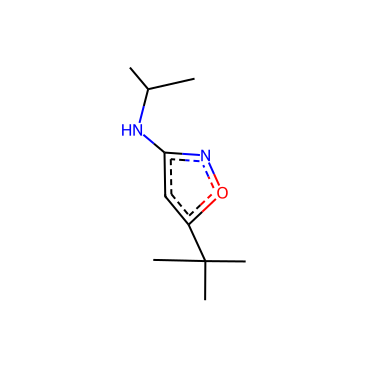 CC(C)Nc1cc(C(C)(C)C)on1